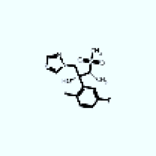 C[C@H]([C@](O)(Cn1cncn1)c1cc(F)ccc1F)S(C)(=O)=O